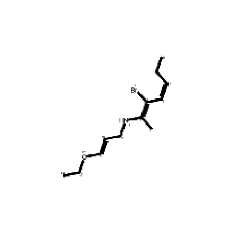 CC/C=C\C(Br)=C(/C)NC/C=C/OCC